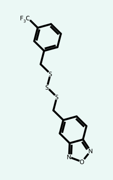 FC(F)(F)c1cccc(CSSSCc2ccc3nonc3c2)c1